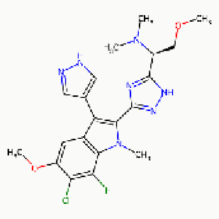 COC[C@@H](c1nc(-c2c(-c3cn[nH]c3)c3cc(OC)c(Cl)c(F)c3n2C)n[nH]1)N(C)C